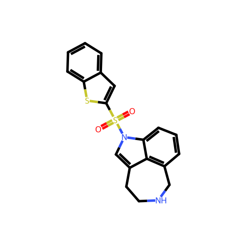 O=S(=O)(c1cc2ccccc2s1)n1cc2c3c(cccc31)CNCC2